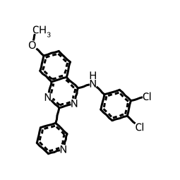 COc1ccc2c(Nc3ccc(Cl)c(Cl)c3)nc(-c3cccnc3)nc2c1